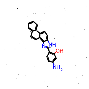 Nc1ccc(-c2nc3c(ccc4c5ccccc5ccc43)[nH]2)c(O)c1